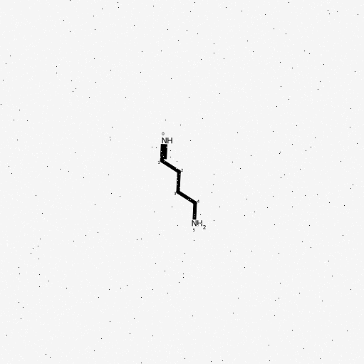 N=CCCCN